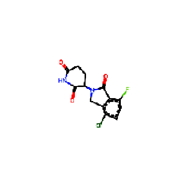 O=C1CCC(N2Cc3c(Cl)ccc(F)c3C2=O)C(=O)N1